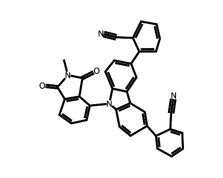 CN1C(=O)c2cccc(-n3c4ccc(-c5ccccc5C#N)cc4c4cc(-c5ccccc5C#N)ccc43)c2C1=O